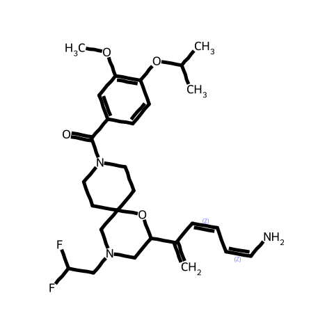 C=C(/C=C\C=C/N)C1CN(CC(F)F)CC2(CCN(C(=O)c3ccc(OC(C)C)c(OC)c3)CC2)O1